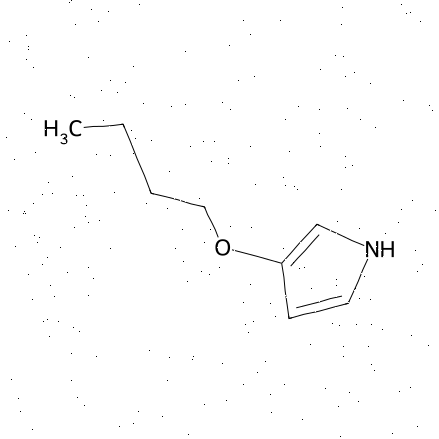 CCCCOc1cc[nH]c1